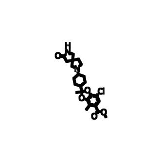 COC(=O)c1cc(Cl)c2c(c1C)OC(C)(C1CCC(N3CCC4(CNC(=O)C4)C3)CC1)O2